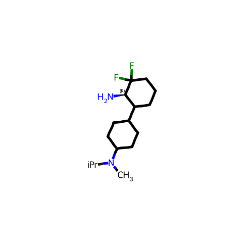 CC(C)N(C)C1CCC(C2CCCC(F)(F)[C@@H]2N)CC1